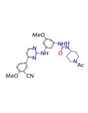 COc1cc(NC(=O)NC2CCN(C(C)=O)CC2)cc(Nc2nccc(-c3ccc(OC)c(C#N)c3)n2)c1